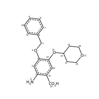 Nc1cc(OCc2ccccc2)c(OC2CCOCC2)cc1C(=O)O